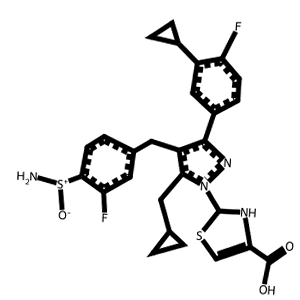 N[S+]([O-])c1ccc(Cc2c(-c3ccc(F)c(C4CC4)c3)nn(C3NC(C(=O)O)=CS3)c2CC2CC2)cc1F